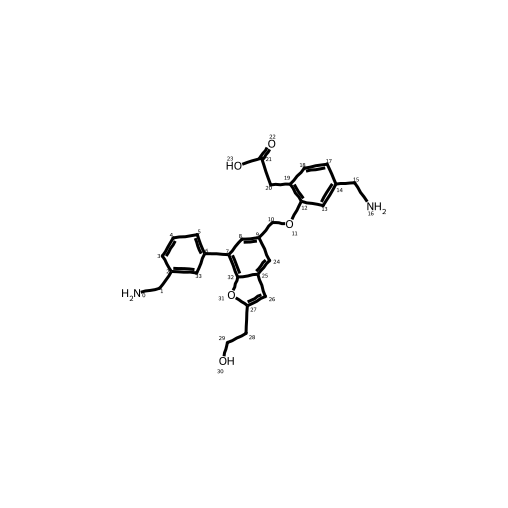 NCc1cccc(-c2cc(COc3cc(CN)ccc3CC(=O)O)cc3cc(CCO)oc23)c1